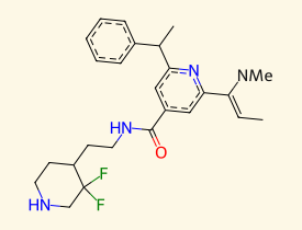 C/C=C(\NC)c1cc(C(=O)NCCC2CCNCC2(F)F)cc(C(C)c2ccccc2)n1